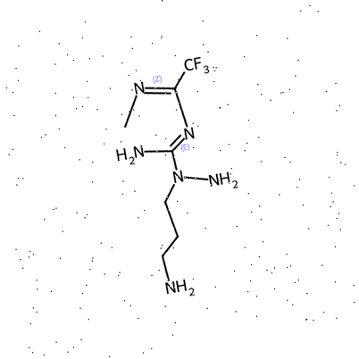 C/N=C(\N=C(/N)N(N)CCCN)C(F)(F)F